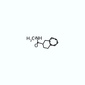 CNC(=O)C1CCc2ccccc2C1